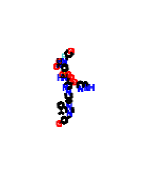 COc1ccc(CN2CCN(C3CC4(CCN(c5cc(Oc6cnc7[nH]ccc7c6)c(C(=O)NS(=O)(=O)c6ccc(NCC7(F)CCOCC7)c([N+](=O)[O-])c6)cn5)CC4)C3)C(c3ccccc3C(C)C)C2)cc1